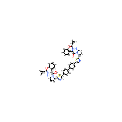 O=C(N[C@@H](C(=O)N1CCC[C@@H]1c1ncc(-c2ccc(-c3ccc(-c4cnc([C@H]5CCCN5C(=O)[C@H](NC(=O)C5CC5)c5ccccc5)s4)cc3)cc2)s1)c1ccccc1)C1CC1